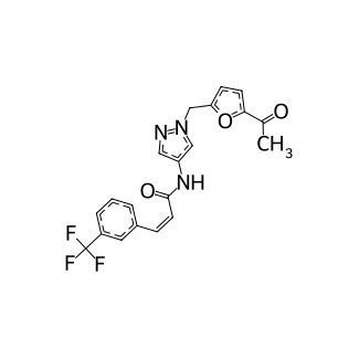 CC(=O)c1ccc(Cn2cc(NC(=O)/C=C\c3cccc(C(F)(F)F)c3)cn2)o1